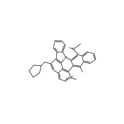 Cc1c2ccccc2c(N(C)C)c2c1c1c3c(cc[n+]1C)cc(CC1CCCC1)c1c4ccccc4n2c13